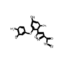 CCNC(=O)c1cc(-c2c(O)cc(O)cc2Oc2ccc(N)c(Cl)c2)on1